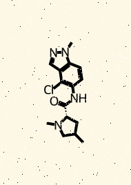 CC1C[C@@H](C(=O)Nc2ccc3c(cnn3C)c2Cl)N(C)C1